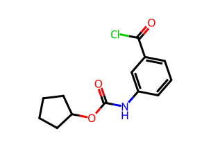 O=C(Nc1cccc(C(=O)Cl)c1)OC1CCCC1